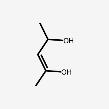 C/C(O)=C/C(C)O